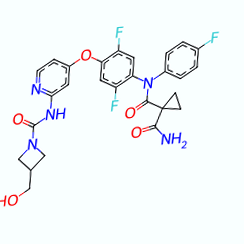 NC(=O)C1(C(=O)N(c2ccc(F)cc2)c2cc(F)c(Oc3ccnc(NC(=O)N4CC(CO)C4)c3)cc2F)CC1